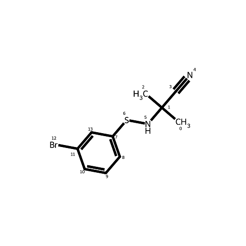 CC(C)(C#N)NSc1cccc(Br)c1